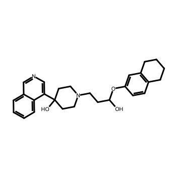 OC(CCN1CCC(O)(c2cncc3ccccc23)CC1)Oc1ccc2c(c1)CCCC2